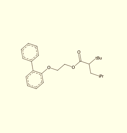 CC(C)CC(C(=O)OCCOc1ccccc1-c1ccccc1)C(C)(C)C